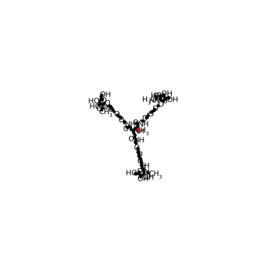 CNC(CCC(=O)NCCOCCOCCOCCOC1OC(CO)C(O)C(O)C1NC(C)=O)(CCC(=O)NCCOCCOCCOCCOC1OC(CO)C(O)C(O)C1NC(C)=O)CCC(=O)NCCOCCOCCOCCOC1OC(CO)C(O)C(O)[C@H]1NC(C)=O